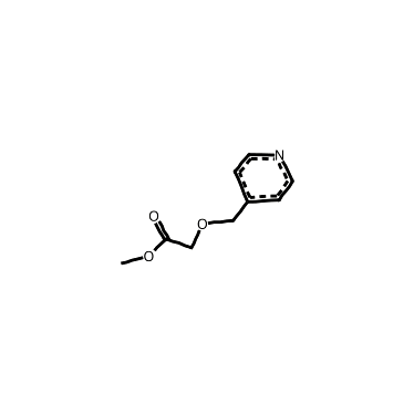 COC(=O)COCc1ccncc1